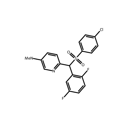 CNc1ccc(C(c2cc(F)ccc2F)S(=O)(=O)c2ccc(Cl)cc2)nc1